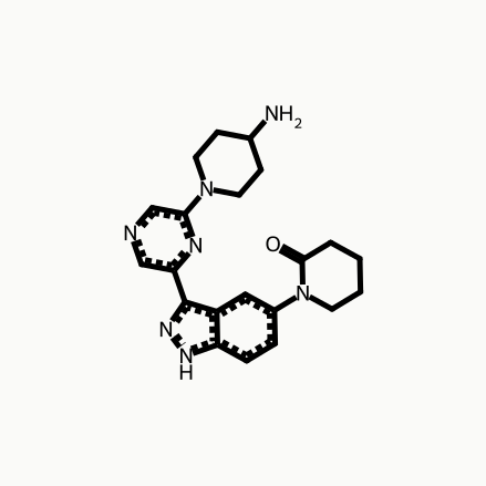 NC1CCN(c2cncc(-c3n[nH]c4ccc(N5CCCCC5=O)cc34)n2)CC1